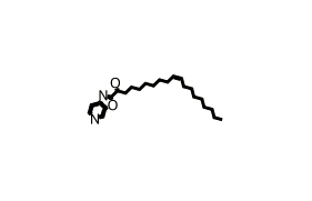 CCCCCCCC/C=C\CCCCCCCC(=O)c1nc2ccncc2o1